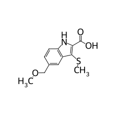 COCc1ccc2[nH]c(C(=O)O)c(SC)c2c1